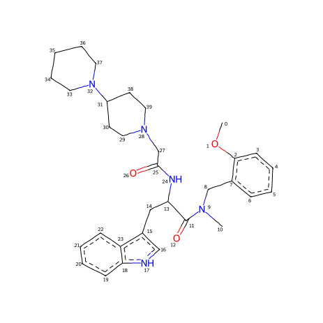 COc1ccccc1CN(C)C(=O)C(Cc1c[nH]c2ccccc12)NC(=O)CN1CCC(N2CCCCC2)CC1